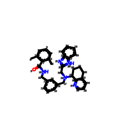 Cc1cccc(C)c1C(=O)NCc1cccc(CN(Cc2nc3ccccc3[nH]2)C2CCCc3cccnc32)c1